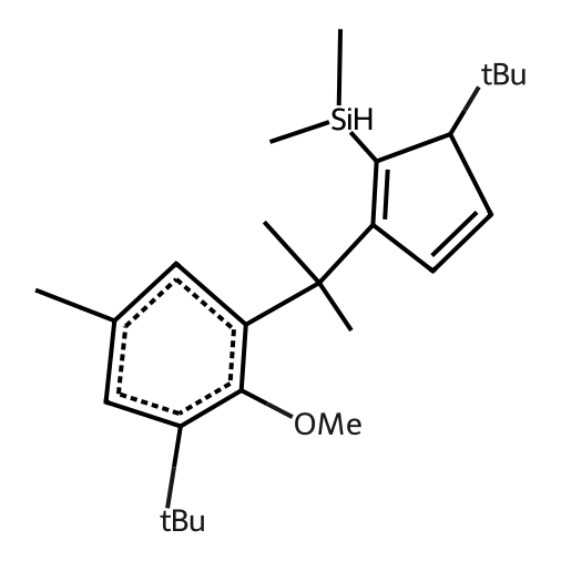 COc1c(C(C)(C)C)cc(C)cc1C(C)(C)C1=C([SiH](C)C)C(C(C)(C)C)C=C1